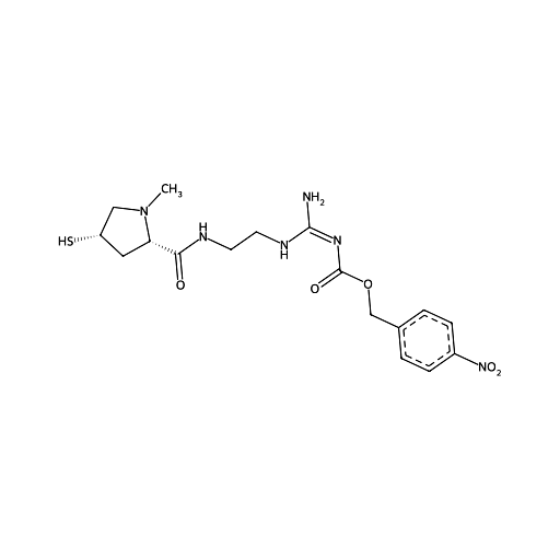 CN1C[C@@H](S)C[C@H]1C(=O)NCCNC(N)=NC(=O)OCc1ccc([N+](=O)[O-])cc1